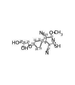 COc1nc(S)c(C#N)c(-c2ccc(OC[C@H](O)CO)cc2)c1C#N